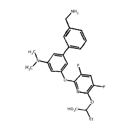 CCC(Oc1nc(Oc2cc(-c3cccc(CN)c3)cc(N(C)C)c2)c(F)cc1F)C(=O)O